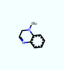 CC(C)(C)N1CC=Nc2ccccc21